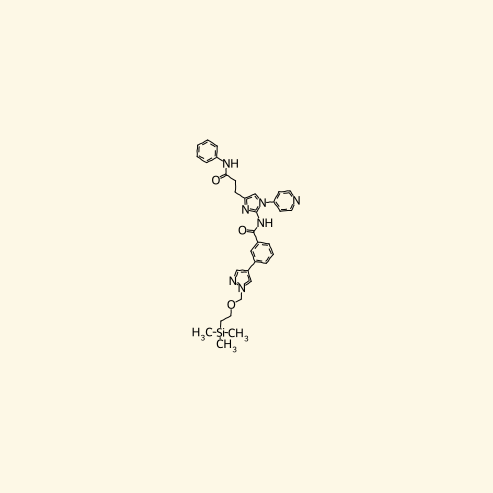 C[Si](C)(C)CCOCn1cc(-c2cccc(C(=O)Nc3nc(CCC(=O)Nc4ccccc4)cn3-c3ccncc3)c2)cn1